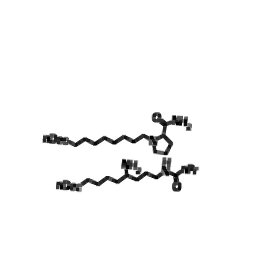 CCCCCCCCCCCCCCC(N)CCCNC(=O)CCC.CCCCCCCCCCCCCCCCCCN1CCCC1C(N)=O